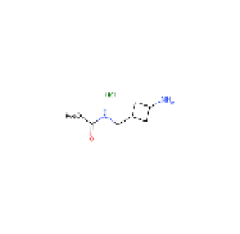 COC(=O)NCC1CC(N)C1.Cl